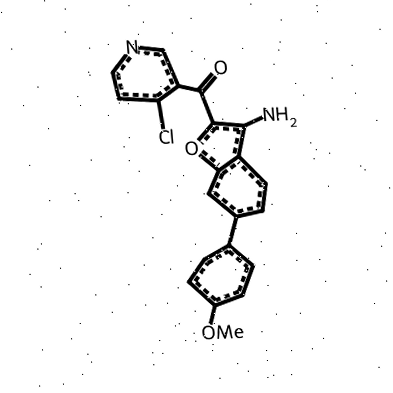 COc1ccc(-c2ccc3c(N)c(C(=O)c4cnccc4Cl)oc3c2)cc1